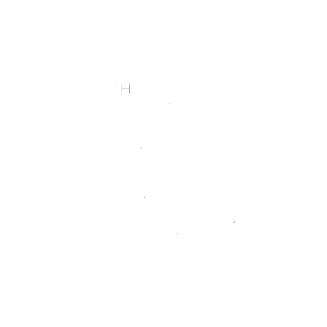 CC(=S)c1cccc2c1ccc1ccccc12